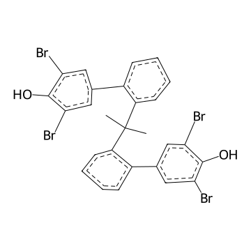 CC(C)(c1ccccc1-c1cc(Br)c(O)c(Br)c1)c1ccccc1-c1cc(Br)c(O)c(Br)c1